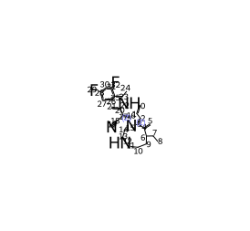 C=C/C=C1/C(=C)C(CC)CCCNCCN1/C=C(\C#N)C(=C)NC(C)c1ccc(F)cc1F